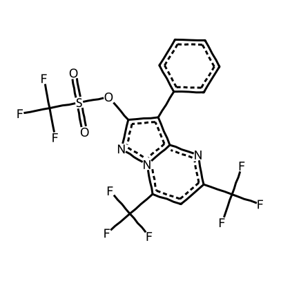 O=S(=O)(Oc1nn2c(C(F)(F)F)cc(C(F)(F)F)nc2c1-c1ccccc1)C(F)(F)F